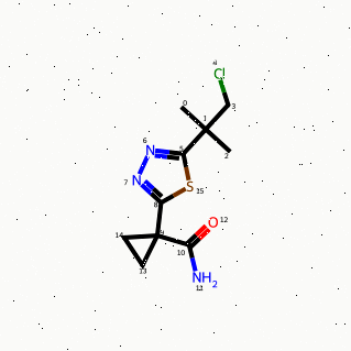 CC(C)(CCl)c1nnc(C2(C(N)=O)CC2)s1